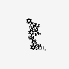 CS(=O)(=O)Oc1ccccc1C1CC(c2csc(C3CCN(C(=O)C(C(=O)OCc4ccccc4)n4nc(C(F)F)cc4C(F)F)CC3)n2)=NO1